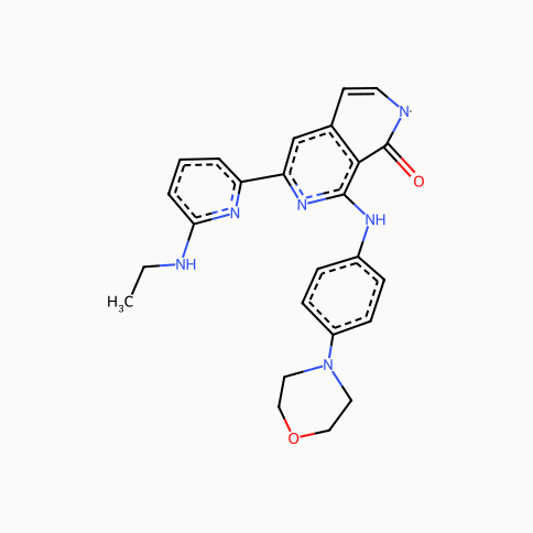 CCNc1cccc(-c2cc3c(c(Nc4ccc(N5CCOCC5)cc4)n2)C(=O)[N]C=C3)n1